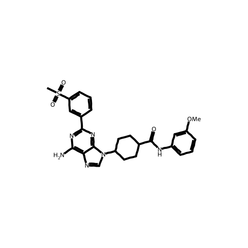 COc1cccc(NC(=O)C2CCC(n3cnc4c(N)nc(-c5cccc(S(C)(=O)=O)c5)nc43)CC2)c1